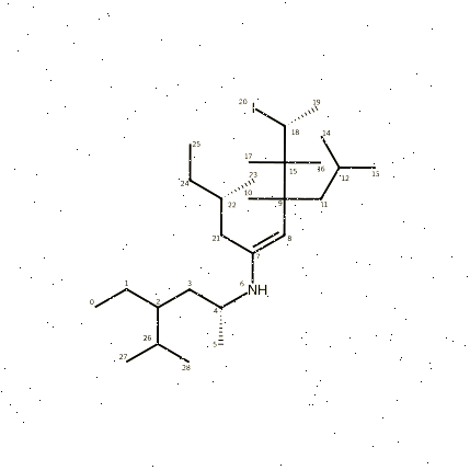 CCC(C[C@@H](C)N/C(=C/C(C)(CC(C)C)C(C)(C)[C@@H](C)I)C[C@@H](C)CC)C(C)C